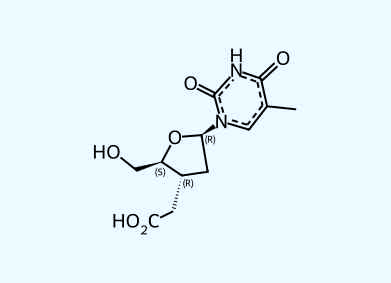 Cc1cn([C@H]2C[C@H](CC(=O)O)[C@@H](CO)O2)c(=O)[nH]c1=O